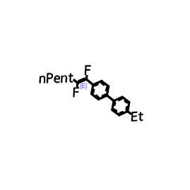 CCCCC/C(F)=C(\F)c1ccc(-c2ccc(CC)cc2)cc1